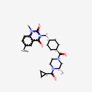 COc1ccc2c(c1)c(=O)n(C[C@H]1CC[C@H](C(=O)N3CCN(C(=O)C4CC4)[C@@H](C)C3)CC1)c(=O)n2C